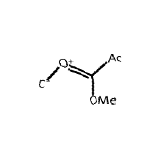 [CH2-]/[O+]=C(\OC)C(C)=O